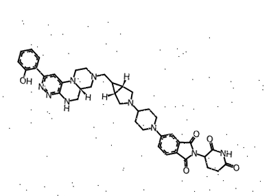 O=C1CCC(N2C(=O)c3ccc(N4CCC(N5C[C@@H]6C(CN7CCN8c9cc(-c%10ccccc%10O)nnc9NC[C@H]8C7)[C@@H]6C5)CC4)cc3C2=O)C(=O)N1